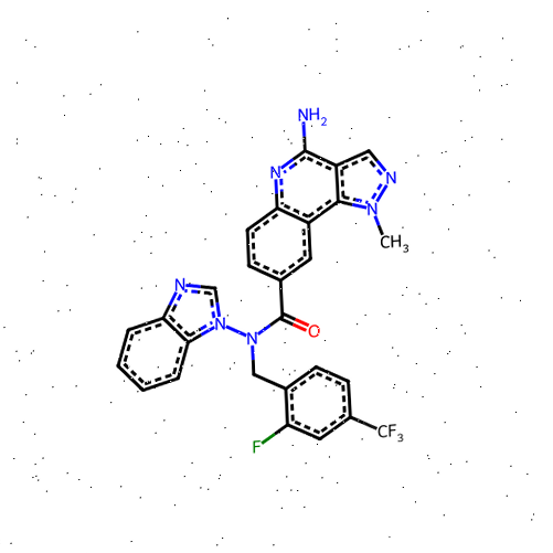 Cn1ncc2c(N)nc3ccc(C(=O)N(Cc4ccc(C(F)(F)F)cc4F)n4cnc5ccccc54)cc3c21